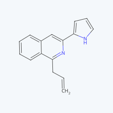 C=CCc1nc(-c2ccc[nH]2)cc2ccccc12